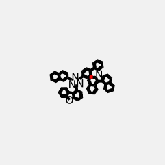 c1ccc(-n2c3ccc4ccccc4c3c3c4ccccc4ccc32)c(-c2ccc(-c3nc(-c4ccc5ccccc5c4)nc(-c4cccc5oc6ccccc6c45)n3)cc2)c1